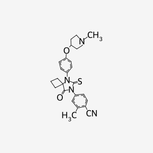 Cc1cc(N2C(=O)C3(CCC3)N(c3ccc(OC4CCN(C)CC4)cc3)C2=S)ccc1C#N